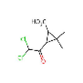 CC1(C)C(C(=O)O)C1C(=O)C(Cl)Cl